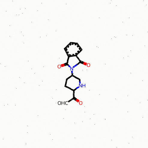 O=CC(=O)C1CCC(N2C(=O)c3ccccc3C2=O)CN1